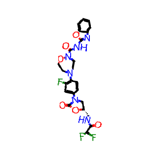 O=C(NC[C@H]1CN(c2ccc(N3CCON(C(=O)Nc4nc5ccccc5o4)CC3)c(F)c2)C(=O)O1)C(F)F